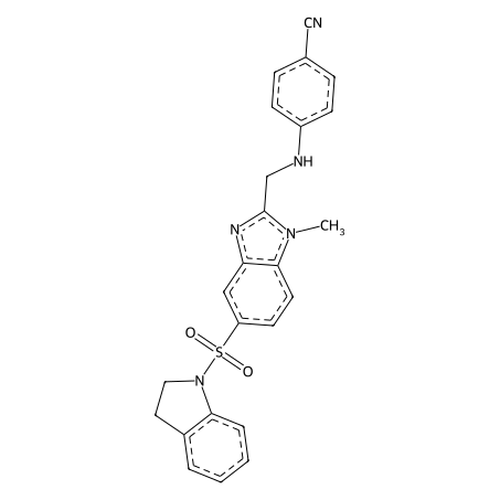 Cn1c(CNc2ccc(C#N)cc2)nc2cc(S(=O)(=O)N3CCc4ccccc43)ccc21